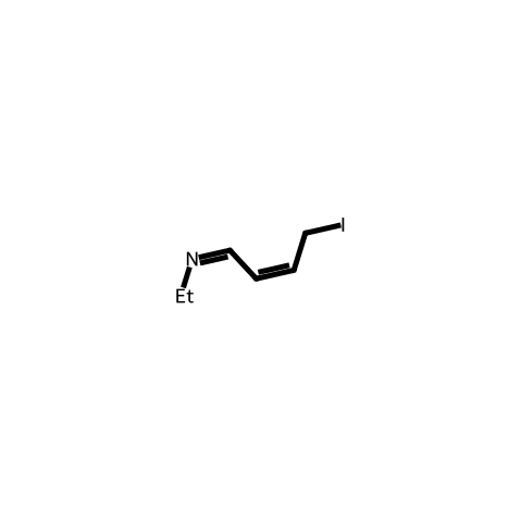 CC/N=C\C=C/CI